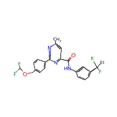 CCC(F)(F)c1cccc(NC(=O)c2cc(C)nc(-c3ccc(OC(F)F)cc3)n2)c1